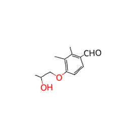 Cc1c(C=O)ccc(OCC(C)O)c1C